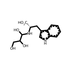 O=C(O)[C@H](Cc1c[nH]c2ccccc12)NC(O)C(O)CO